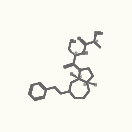 CN[C@@H](C)C(=O)N[C@@H](CC(C)(C)C)C(=O)N1CC[C@H]2CCCN(CCc3ccccc3)C[C@H]21